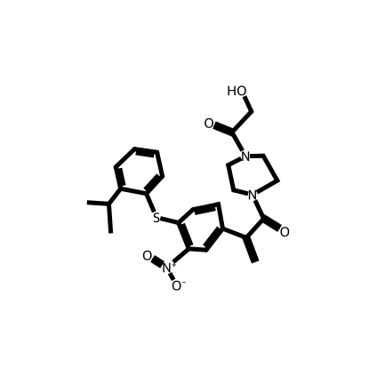 C=C(C(=O)N1CCN(C(=O)CO)CC1)c1ccc(Sc2ccccc2C(C)C)c([N+](=O)[O-])c1